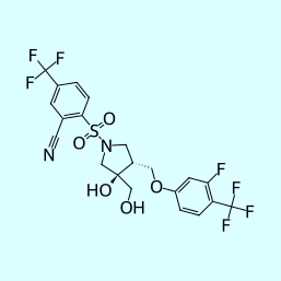 N#Cc1cc(C(F)(F)F)ccc1S(=O)(=O)N1C[C@H](COc2ccc(C(F)(F)F)c(F)c2)[C@](O)(CO)C1